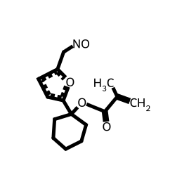 C=C(C)C(=O)OC1(c2ccc(CN=O)o2)CCCCC1